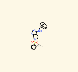 Cc1ccccc1S(=O)(=O)N1CCc2c(ncnc2NCC23CC4CC(CC(C4)C2)C3)C1